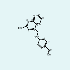 Cc1cc(CNc2ccc([C]=O)cc2)c2ccccc2n1